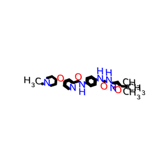 CCN1CCC(Oc2ccnc(C(=O)Nc3ccc(NC(=O)Nc4cc(C(C)(C)C)on4)cc3)c2)CC1